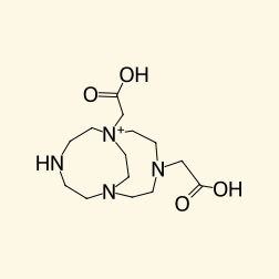 O=C(O)CN1CCN2CCNCC[N+](CC(=O)O)(CC2)CC1